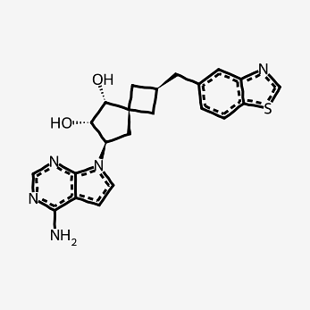 Nc1ncnc2c1ccn2[C@@H]1C[C@]2(C[C@@H](Cc3ccc4scnc4c3)C2)[C@@H](O)[C@H]1O